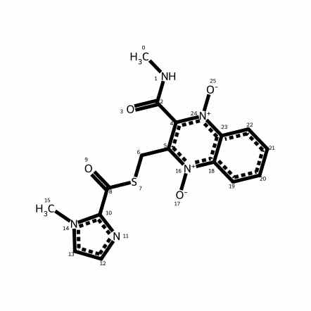 CNC(=O)c1c(CSC(=O)c2nccn2C)[n+]([O-])c2ccccc2[n+]1[O-]